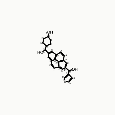 OC1CCC(C(O)c2cc3ccc4cc(C(O)c5ccsc5)cc5ccc(c2)c3c45)CC1